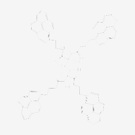 O=C(CCCc1ccc2ccc3cccc4ccc1c2c34)C(O)[C@](O)(C(=O)CCCc1ccc2ccc3cccc4ccc1c2c34)[C@@H](O)[C@H](O)[C@@](O)(C(=O)CCCc1ccc2ccc3cccc4ccc1c2c34)C(O)C(=O)CCCc1ccc2ccc3cccc4ccc1c2c34